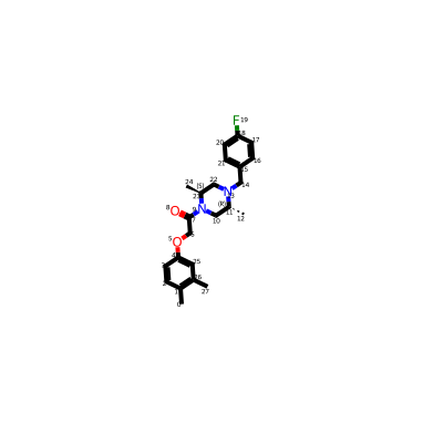 Cc1ccc(OCC(=O)N2C[C@@H](C)N(Cc3ccc(F)cc3)C[C@@H]2C)cc1C